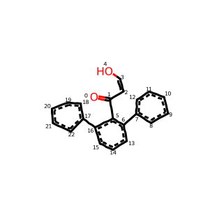 O=C(/C=C\O)c1c(-c2ccccc2)cccc1-c1ccccc1